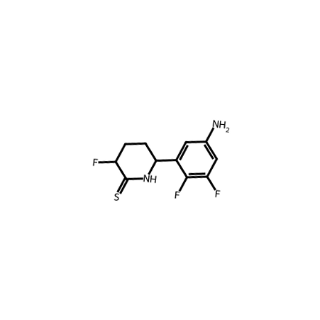 Nc1cc(F)c(F)c(C2CCC(F)C(=S)N2)c1